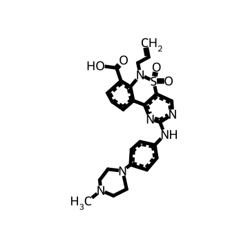 C=CCN1c2c(C(=O)O)cccc2-c2nc(Nc3ccc(N4CCN(C)CC4)cc3)ncc2S1(=O)=O